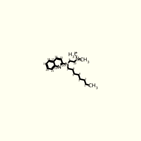 CCCCCCCCN(CCN(C)C)c1ccc2ccccc2n1